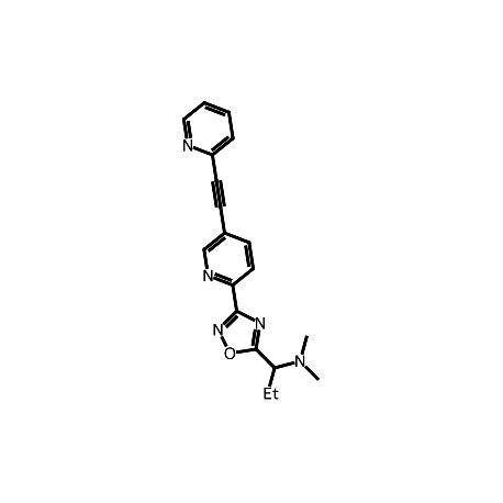 CCC(c1nc(-c2ccc(C#Cc3ccccn3)cn2)no1)N(C)C